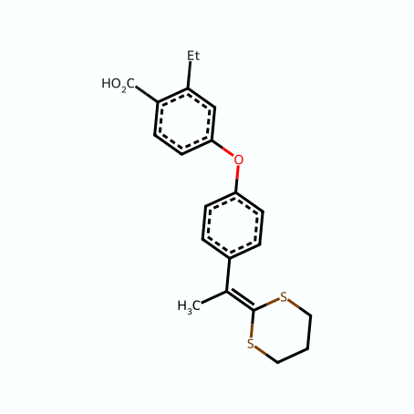 CCc1cc(Oc2ccc(C(C)=C3SCCCS3)cc2)ccc1C(=O)O